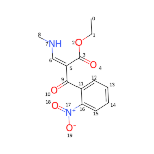 CCOC(=O)C(=CNC)C(=O)c1ccccc1[N+](=O)[O-]